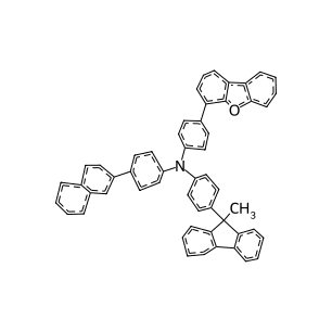 CC1(c2ccc(N(c3ccc(-c4ccc5ccccc5c4)cc3)c3ccc(-c4cccc5c4oc4ccccc45)cc3)cc2)c2ccccc2-c2ccccc21